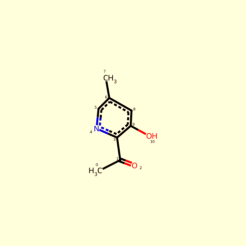 CC(=O)c1ncc(C)cc1O